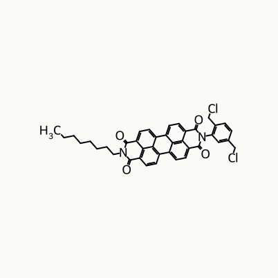 CCCCCCCCN1C(=O)c2ccc3c4ccc5c6c(ccc(c7ccc(c2c37)C1=O)c64)C(=O)N(c1cc(CCl)ccc1CCl)C5=O